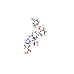 O=C(O)c1ccc2nc3n(c2c1)C([C@@H]1CCO1)[C@H]1CC(c2cccc4c2O[C@H](c2ccc(Cl)cc2F)CO4)CCN1C3